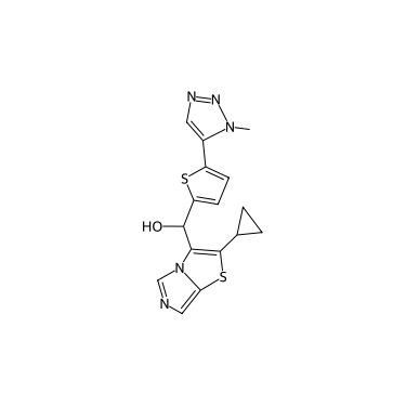 Cn1nncc1-c1ccc(C(O)c2c(C3CC3)sc3cncn23)s1